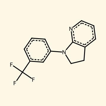 FC(F)(F)c1cccc(N2CCc3cccnc32)c1